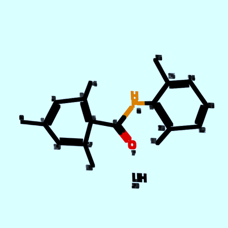 Cc1cc(C)c(C(=O)Pc2c(C)cccc2C)c(C)c1.[LiH]